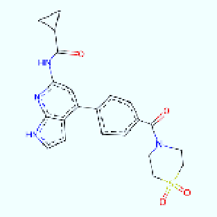 O=C(Nc1cc(-c2ccc(C(=O)N3CCS(=O)(=O)CC3)cc2)c2cc[nH]c2n1)C1CC1